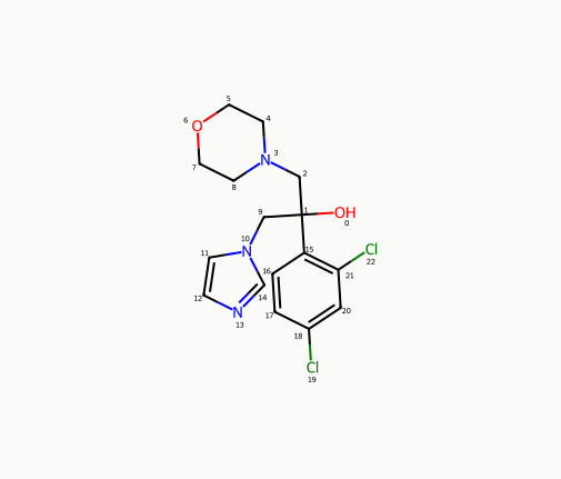 OC(CN1CCOCC1)(Cn1ccnc1)c1ccc(Cl)cc1Cl